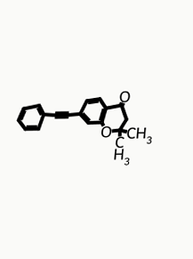 CC1(C)CC(=O)c2ccc(C#Cc3ccccc3)cc2O1